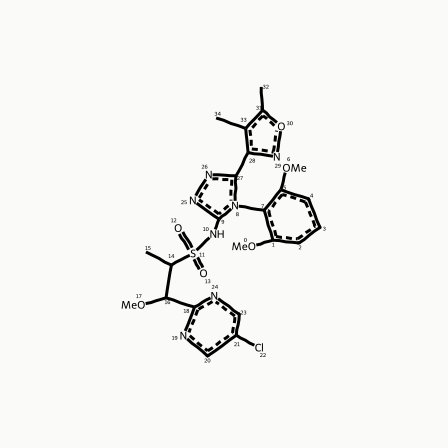 COc1cccc(OC)c1-n1c(NS(=O)(=O)C(C)C(OC)c2ncc(Cl)cn2)nnc1-c1noc(C)c1C